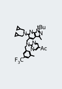 CC(=O)c1cnc(N(Cc2cc(C)cc(C(F)(F)F)c2)Cc2cc3c(C)nn(C(C)(C)C)c3nc2N(CC2CC2)CC2CC2)nc1